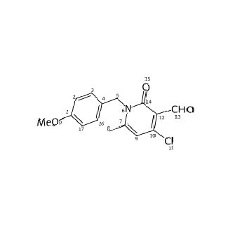 COc1ccc(Cn2c(C)cc(Cl)c(C=O)c2=O)cc1